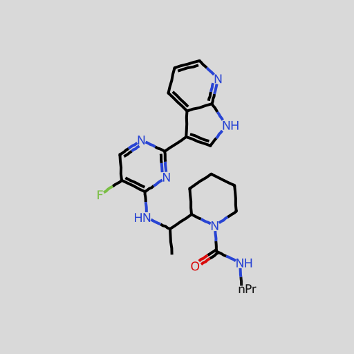 CCCNC(=O)N1CCCCC1C(C)Nc1nc(-c2c[nH]c3ncccc23)ncc1F